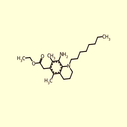 CCCCCCCCN1CCCc2c(C)c(CC(=O)OCC)c(C)c(N)c21